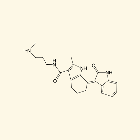 Cc1[nH]c2c(c1C(=O)NCCCN(C)C)CCC/C2=C1/C(=O)Nc2ccccc21